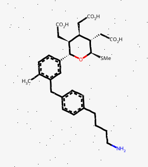 CS[C@H]1O[C@H](c2ccc(C)c(Cc3ccc(CCCCN)cc3)c2)[C@@H](CC(=O)O)[C@@H](CC(=O)O)[C@@H]1CC(=O)O